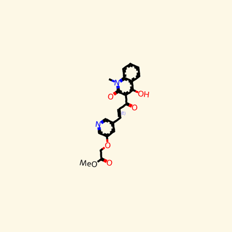 COC(=O)COc1cncc(/C=C/C(=O)c2c(O)c3ccccc3n(C)c2=O)c1